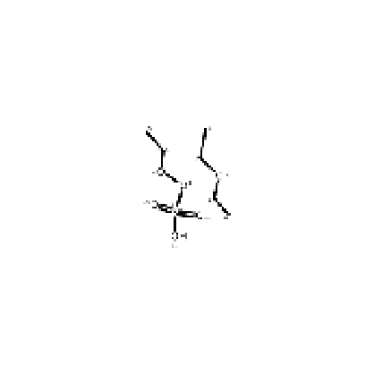 CCOCC.CCOOS(=O)(=O)O